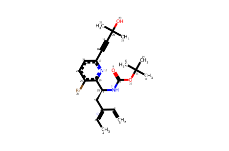 C=C/C(=C\C)C[C@H](NC(=O)OC(C)(C)C)c1nc(C#CC(C)(C)O)ccc1Br